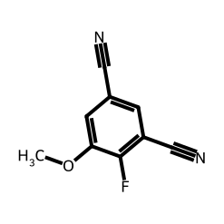 COc1cc(C#N)cc(C#N)c1F